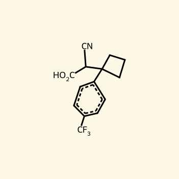 N#CC(C(=O)O)C1(c2ccc(C(F)(F)F)cc2)CCC1